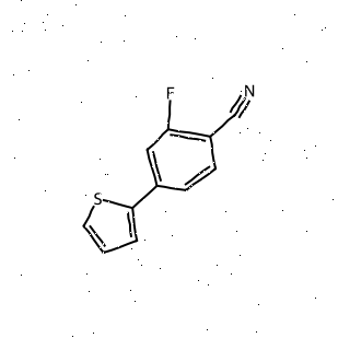 N#Cc1ccc(-c2cccs2)cc1F